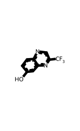 Oc1ccc2ncc(C(F)(F)F)nc2c1